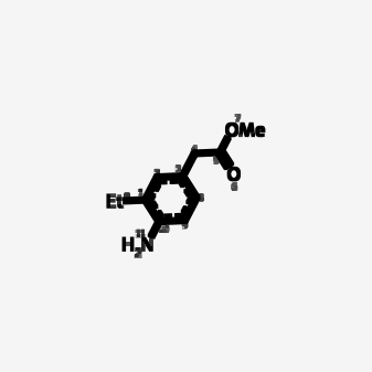 CCc1cc(CC(=O)OC)ccc1N